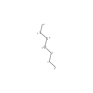 CCCOSSC